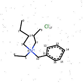 CCCC[N+](CC)(CCC)Cc1ccccc1.[Cl-]